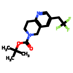 CC(C)(C)OC(=O)N1CCc2ncc(CC(F)(F)F)cc2C1